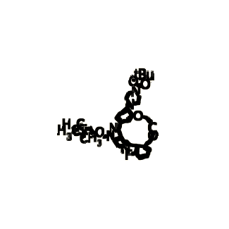 CC(C)(C)OC(=O)N1CCN(c2ccc3cc2OCCCOCc2cccc(F)c2-c2cc4c-3nn(COCC[Si](C)(C)C)c4cn2)CC1